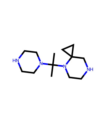 CC(C)(N1CCNCC1)N1CCNCC12CC2